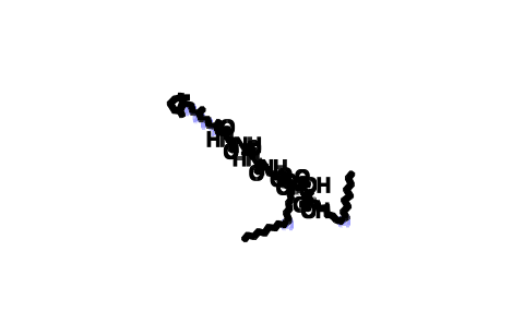 CCCCCCCC/C=C\CCCCCC[C@@H](C(=O)O)C(C)C[C@@H](C(=O)O)C(CCCCC/C=C\CCCCCCCC)OP(=O)(O)OCCNC(=O)CNC(=O)CNC(=O)CNC(=O)/C=C(C)/C=C/C=C(C)/C=C/C1=C(C)CCCC1(C)C